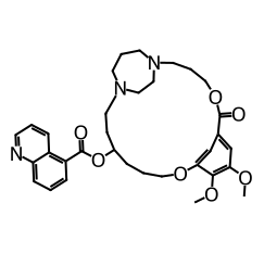 COc1cc2cc(c1OC)OCCCC(OC(=O)c1cccc3ncccc13)CCN1CCCN(CCCOC2=O)CC1